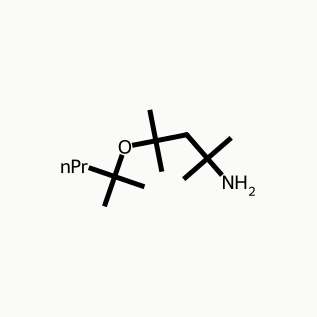 CCCC(C)(C)OC(C)(C)CC(C)(C)N